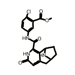 COC(=O)c1cc(NC(=O)c2[nH]c(=O)cc3c2C2CCC(C3)N2)ccc1Cl